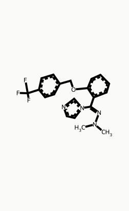 CN(C)N=C(c1ccccc1OCc1ccc(C(F)(F)F)cc1)n1ccnc1